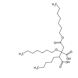 CCCCCCCOC(=O)CC(OCCCCCCC)(C(=O)O)C(CCCCC)C(=O)O